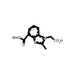 COC(=O)c1cccc2c1nc(C)n2CC(=O)O